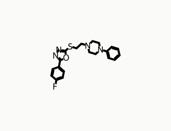 Fc1ccc(-c2nnc(SCCN3CCN(c4ccccc4)CC3)o2)cc1